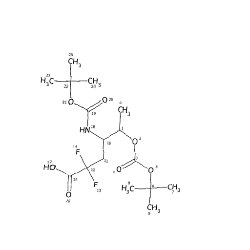 CC(OC(=O)OC(C)(C)C)C(CC(F)(F)C(=O)O)NC(=O)OC(C)(C)C